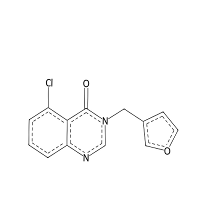 O=c1c2c(Cl)cccc2ncn1Cc1ccoc1